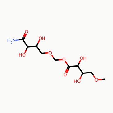 COCC(O)C(O)C(=O)OCOCC(O)C(O)C(N)=O